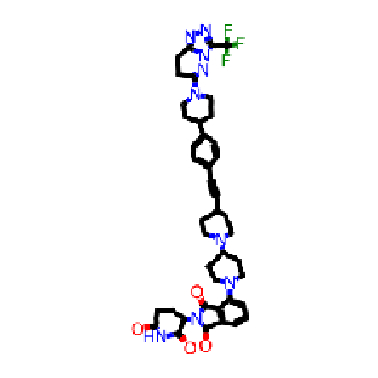 O=C1CCC(N2C(=O)c3cccc(N4CCC(N5CCC(C#Cc6ccc(C7CCN(C8=Nn9c(nnc9C(F)(F)F)CC8)CC7)cc6)CC5)CC4)c3C2=O)C(=O)N1